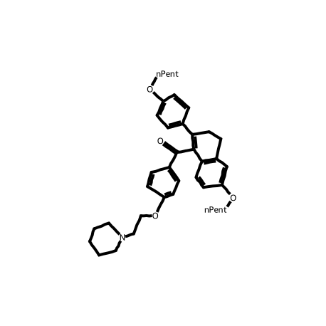 CCCCCOc1ccc(C2=C(C(=O)c3ccc(OCCN4CCCCC4)cc3)c3ccc(OCCCCC)cc3CC2)cc1